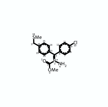 COC(=O)[N+](N)=C(c1ccc(Cl)cc1)c1ccc(CSC)cc1